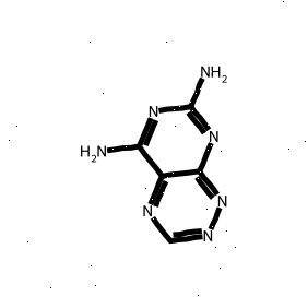 Nc1nc(N)c2ncnnc2n1